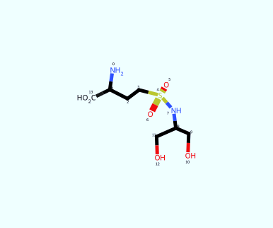 NC(CCS(=O)(=O)NC(CO)CO)C(=O)O